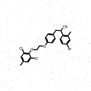 Cc1cc(Cl)c(OCCOc2ccc(CC(C#N)c3ccc(Br)cc3C)cc2)c(Cl)c1